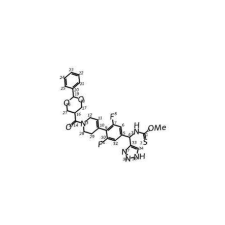 COC(=S)NC(c1cc(F)c(C2=CCN(C(=O)C3COC(c4ccccc4)OC3)CC2)c(F)c1)c1c[nH]nn1